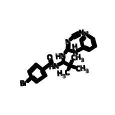 CC(C)(C)C(NC(=O)c1ccc(Br)cc1)N/C(=N/C#N)Nc1cccnc1